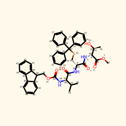 COC(=O)[C@H](NC(=O)[C@@H](CSC(c1ccccc1)(c1ccccc1)c1ccccc1)NC(=O)[C@H](NC(=O)OCC1c2ccccc2-c2ccccc21)C(C)C)[C@H](C)O